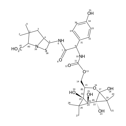 CC1(C)CC2C(NC(=O)C(NC(=O)OC[C@H]3OC4(O)C(C)(C)[C@@]4(O)[C@]4(O)C(C)(C)[C@]34O)c3ccc(O)cc3)SN2C1C(=O)O